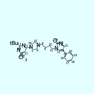 CC(C)(C)c1nc(N2CCN(CCCCn3cc(-c4ccccc4)cnc3=O)CC2)cc(C(F)(F)F)n1